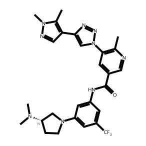 Cc1ncc(C(=O)Nc2cc(N3CC[C@H](N(C)C)C3)cc(C(F)(F)F)c2)cc1-n1cc(-c2cnn(C)c2C)nn1